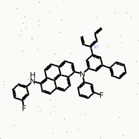 C=C/C=C(\C=C)c1cc(-c2ccccc2)cc(N(c2cccc(F)c2)c2ccc3ccc4c(Nc5cccc(F)c5)ccc5ccc2c3c54)c1